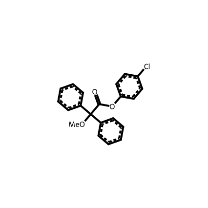 COC(C(=O)Oc1ccc(Cl)cc1)(c1ccccc1)c1ccccc1